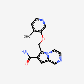 NC(=O)c1cc2cnccn2c1COc1cnccc1C=O